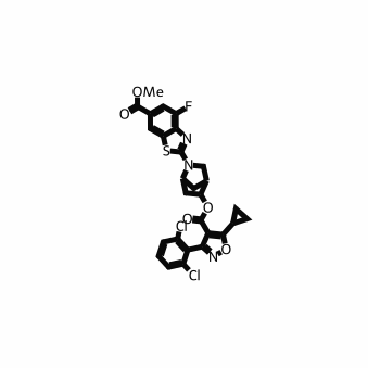 COC(=O)c1cc(F)c2nc(N3CC4CC3CC4OC(=O)c3c(-c4c(Cl)cccc4Cl)noc3C3CC3)sc2c1